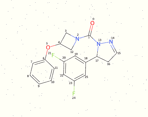 O=C(N1CC(Oc2ccccc2)C1)N1N=CCC1c1cc(F)cc(F)c1